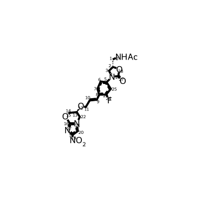 CC(=O)NC[C@H]1CN(c2ccc(/C=C/CO[C@@H]3COc4nc([N+](=O)[O-])cn4C3)c(F)c2)C(=O)O1